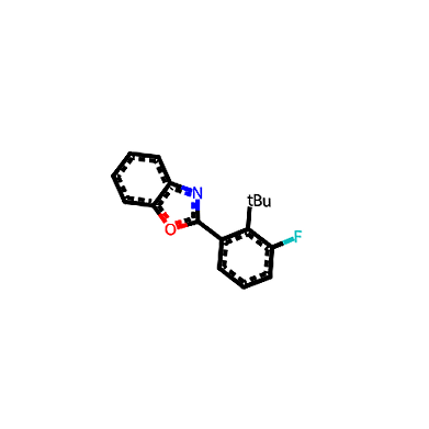 CC(C)(C)c1c(F)cccc1-c1nc2ccccc2o1